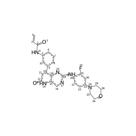 C=CC(=O)Nc1cccc(-c2cc(=O)[nH]c3cnc(Nc4ccc(N5CCOCC5)cc4F)nc23)c1